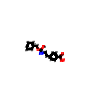 O=C(NCCc1ccc(C(=O)O)cc1)OCc1ccccc1